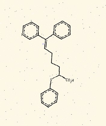 O=C(O)C(CCC/C=C(\c1ccccc1)c1cccnc1)Sc1ccccc1